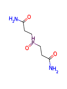 NC(=O)CC[PH](=O)CCC(N)=O